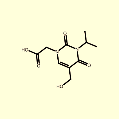 CC(C)n1c(=O)c(CO)cn(CC(=O)O)c1=O